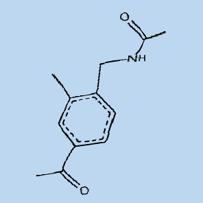 CC(=O)NCc1ccc(C(C)=O)cc1C